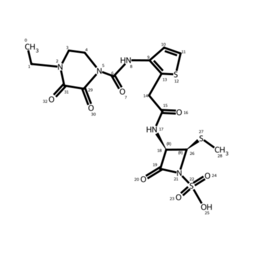 CCN1CCN(C(=O)Nc2ccsc2CC(=O)N[C@@H]2C(=O)N(S(=O)(=O)O)[C@@H]2SC)C(=O)C1=O